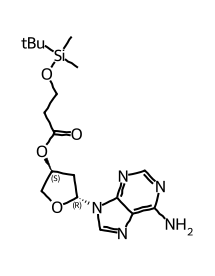 CC(C)(C)[Si](C)(C)OCCC(=O)O[C@@H]1CO[C@@H](n2cnc3c(N)ncnc32)C1